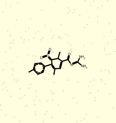 CC1=C(c2ccc(C)cc2)C(=S(=O)=O)C(C)C(C(=O)N=C(N)N)=C1